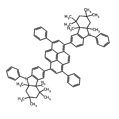 CC1(C)CC(C)(C)C2(C)c3cc(-c4cc(-c5ccccc5)c5ccc6c(-c7ccc8c(c7)C7(C)C(C)(C)CC(C)(C)CC7(C)N8c7ccccc7)cc(-c7ccccc7)c7ccc4c5c76)ccc3N(c3ccccc3)C2(C)C1